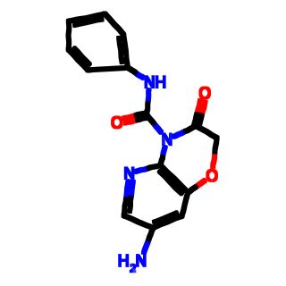 Nc1cnc2c(c1)OCC(=O)N2C(=O)Nc1ccccc1